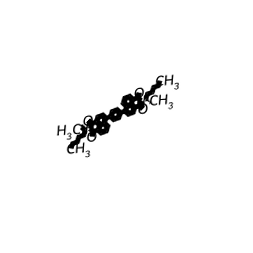 CCCCCC(CC)N1C(=O)c2cccc3c(-c4ccc(-c5ccc6c7c(cccc57)C(=O)N([C@@H](CC)CCCCC)C6=O)cc4)ccc(c23)C1=O